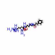 N=C(N)NCCCC[C@@H](NC(=O)CCCCNC(=O)CCc1ccccc1)C(N)=O